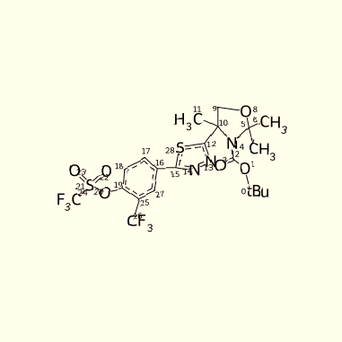 CC(C)(C)OC(=O)N1C(C)(C)OCC1(C)c1nnc(-c2ccc(OS(=O)(=O)C(F)(F)F)c(C(F)(F)F)c2)s1